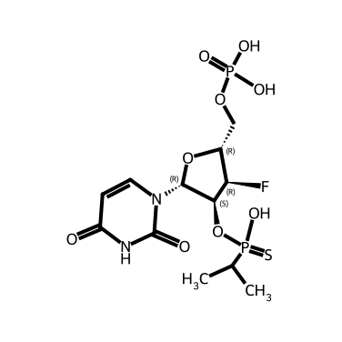 CC(C)P(O)(=S)O[C@@H]1[C@H](F)[C@@H](COP(=O)(O)O)O[C@H]1n1ccc(=O)[nH]c1=O